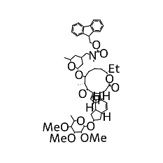 CC[C@H]1CCC[C@H](O[C@H]2CC(CN(C)C(=O)OCC3c4ccccc4-c4ccccc43)CC(C)O2)[C@@H](C)C(=O)C2=C[C@@H]3[C@@H](C=C[C@@H]4C[C@@H](OC5OC(C)C(OC)C(OC)C5OC)C[C@@H]34)[C@@H]2CC(=O)O1